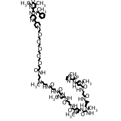 Cc1cc(-c2nc3cnc(C4CCN(CCOCCOCCOCCOCCOCCC(=O)NCCCN(C)CCCNC(=O)CCNC(=O)c5nc(NC(=O)CCNC(=O)c6cc(NC(=O)C(=N)N(C)/C=C7\CC7NC(=O)CCNC(=O)c7cc(NC(=O)c8nccn8C)cn7C)cn6C)cn5C)CC4)cc3n2[C@@H](C)c2ccccc2)nn(C)c1=O